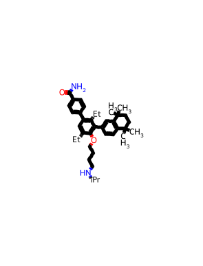 CCc1cc(-c2ccc(C(N)=O)cc2)c(CC)c(-c2ccc3c(c2)C(C)(C)CCC3(C)C)c1OCCCCNC(C)C